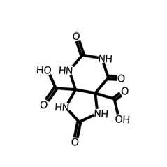 O=C1NC(=O)C2(C(=O)O)NC(=O)NC2(C(=O)O)N1